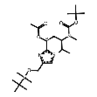 CC(=O)O[C@@H](CC(C(C)C)N(C)C(=O)OC(C)(C)C)c1nc(CO[Si](C)(C)C(C)(C)C)cs1